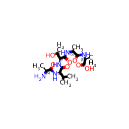 CC(C)[C@H](NC(=O)[C@H](C)N)C(=O)N[C@H](C(=O)N[C@@H](C)C(=O)N[C@@H](C)C(=O)O)[C@@H](C)O